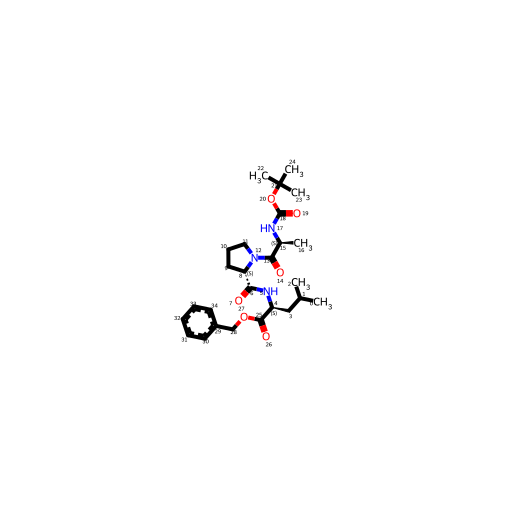 CC(C)C[C@H](NC(=O)[C@@H]1CCCN1C(=O)[C@H](C)NC(=O)OC(C)(C)C)C(=O)OCc1ccccc1